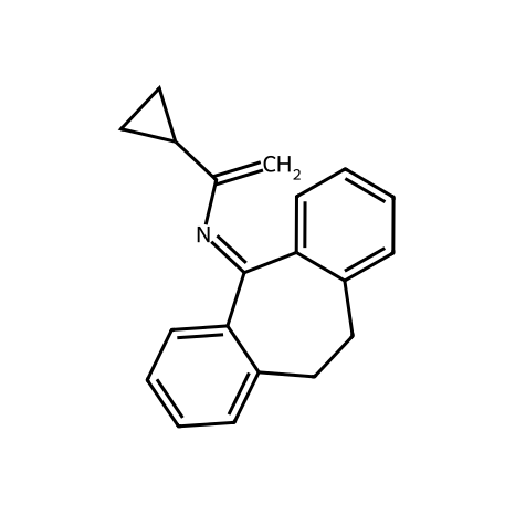 C=C(N=C1c2ccccc2CCc2ccccc21)C1CC1